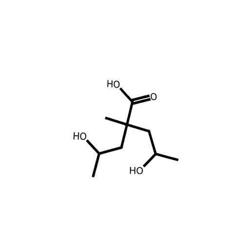 CC(O)CC(C)(CC(C)O)C(=O)O